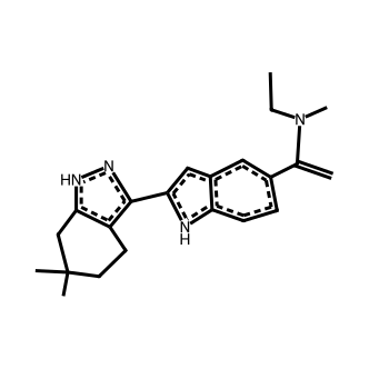 C=C(c1ccc2[nH]c(-c3n[nH]c4c3CCC(C)(C)C4)cc2c1)N(C)CC